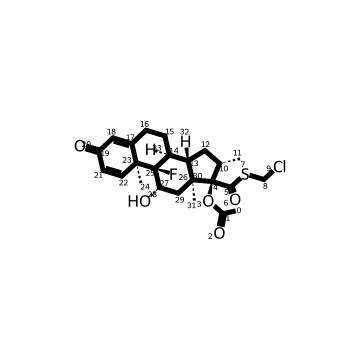 CC(=O)O[C@]1(C(=O)SCCl)[C@@H](C)C[C@H]2[C@@H]3CCC4=CC(=O)C=C[C@]4(C)[C@@]3(F)[C@@H](O)C[C@@]21C